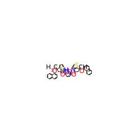 CC(CC(N)OC(=O)/C=C\C(=O)OC(N)CC(C)(Oc1cccc2ccccc12)c1cccs1)(Oc1cccc2ccccc12)c1cccs1